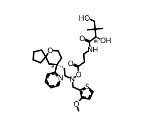 COc1ccsc1CN(CC[C@@]1(c2ccccn2)CCOC2(CCCC2)C1)OC(=O)CCNC(=O)[C@H](O)C(C)(C)CO